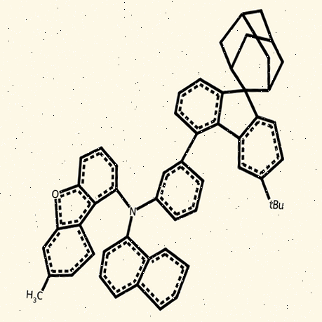 Cc1ccc2c(c1)oc1cccc(N(c3cccc(-c4cccc5c4-c4cc(C(C)(C)C)ccc4C54C5CC6CC(C5)CC4C6)c3)c3cccc4ccccc34)c12